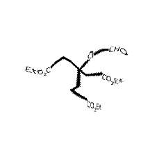 CCOC(=O)CC(CC(=O)OCC)(OC=O)C(=O)OCC